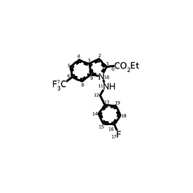 CCOC(=O)c1cc2ccc(C(F)(F)F)cc2n1NCc1ccc(F)cc1